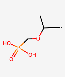 [CH2]C(C)OCP(=O)(O)O